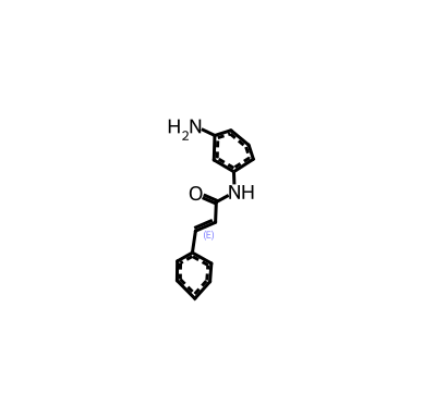 Nc1cccc(NC(=O)/C=C/c2ccccc2)c1